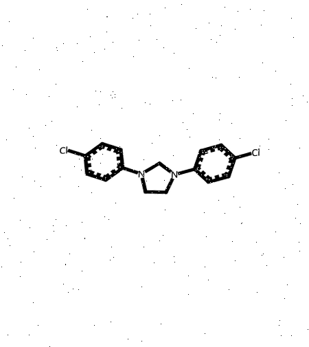 Clc1ccc(N2CCN(c3ccc(Cl)cc3)C2)cc1